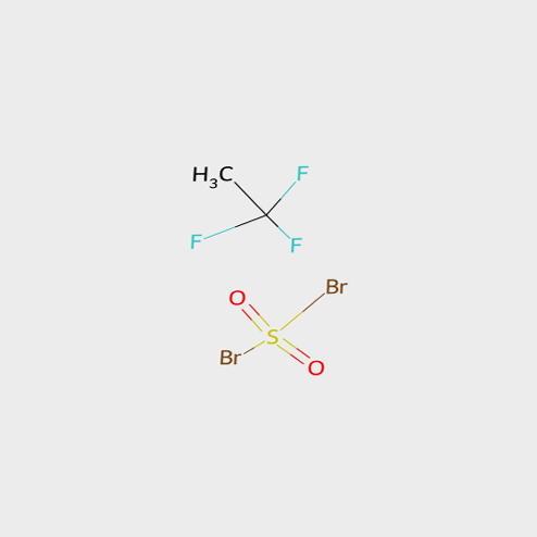 CC(F)(F)F.O=S(=O)(Br)Br